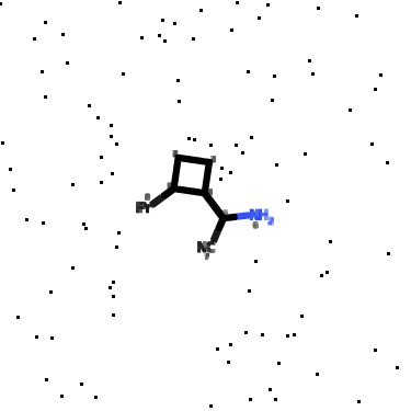 CC(C)C1CCC1C(N)C#N